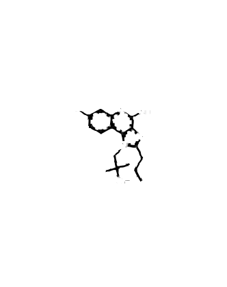 CCCc1nc2c(N)nc3cc(Br)ccc3c2n1CC(C)(C)O